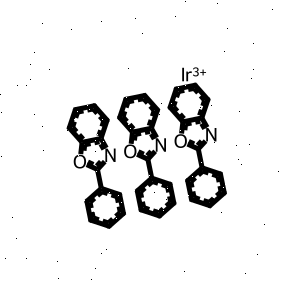 [Ir+3].c1ccc(-c2nc3ccccc3o2)cc1.c1ccc(-c2nc3ccccc3o2)cc1.c1ccc(-c2nc3ccccc3o2)cc1